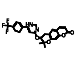 CC1(C)Oc2cc3oc(=O)ccc3cc2C[C@@H]1OC1=NCNC(C2=CC=C(C(F)(F)F)CC2)=C1